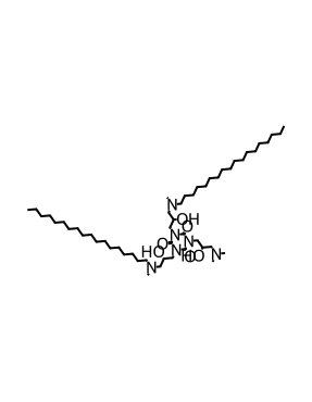 CCCCCCCCCCCCCCCCCCN(C)CC(O)Cn1c(=O)n(CC(O)CN(C)C)c(=O)n(CC(O)CN(C)CCCCCCCCCCCCCCCCCC)c1=O